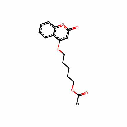 CCC(=O)OCCCCCOc1cc(=O)oc2ccccc12